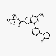 Cc1nc2c(c(-c3cccc(N4CCCC4=O)c3)n1)CN(C(=O)OC(C)(C)C)C2